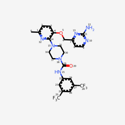 Cc1ccc(OCc2ccnc(N)n2)c(N2CCN(C(=O)Nc3cc(C(F)(F)F)cc(C(F)(F)F)c3)CC2)n1